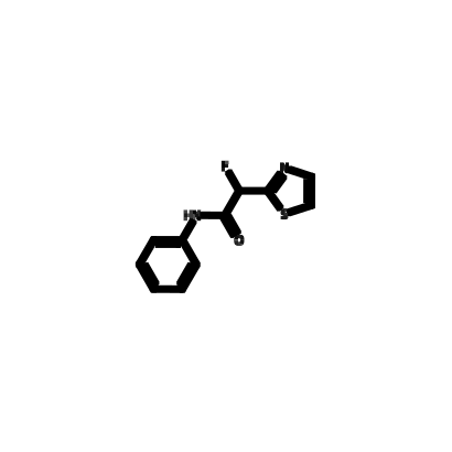 O=C(Nc1ccccc1)C(F)c1nccs1